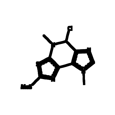 CSc1nc2c(s1)N(C)C(Cl)c1ncn(C)c1-2